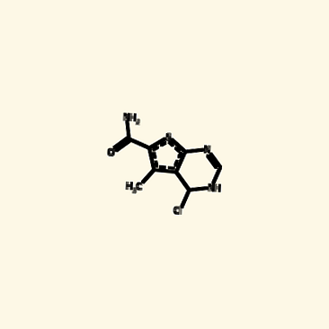 Cc1c(C(N)=O)sc2c1C(Cl)NC=N2